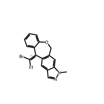 CC/C(Br)=C1\c2cc3cnn(C)c3cc2COc2ccccc21